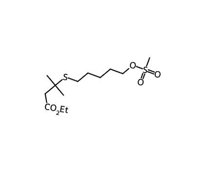 CCOC(=O)CC(C)(C)SCCCCCOS(C)(=O)=O